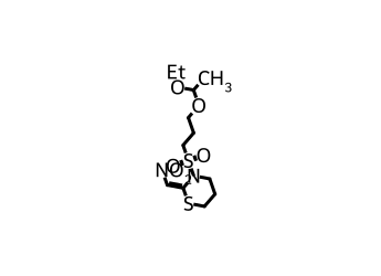 CCOC(C)OCCCS(=O)(=O)N1CCCSC1=C[N+](=O)[O-]